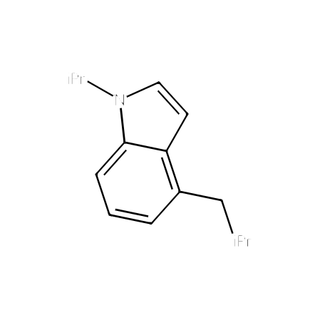 CC(C)Cc1cccc2c1ccn2C(C)C